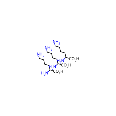 NCCCCC(N)C(=O)O.NCCCCC(N)C(=O)O.NCCCCC(N)C(=O)O